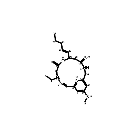 C=C1CN(CC)N=Cc2cc(SC)cc(n2)CNC(=S)CC(/C=C/CCC)O1